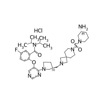 CC(C)N(C(=O)c1cc(F)ccc1Oc1cncnc1N1CC[C@@H](CN2CC3(CCN(S(=O)(=O)N4CCC[C@@H](N)C4)CC3)C2)C1)C(C)C.Cl